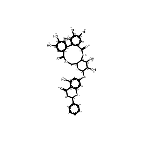 O=C1OCC2OC(Oc3cc(O)c4c(c3)OC(c3ccccc3)CC4=O)C(O)C(O)C2OC(=O)c2cc(O)c(O)c(O)c2-c2c1cc(O)c(O)c2O